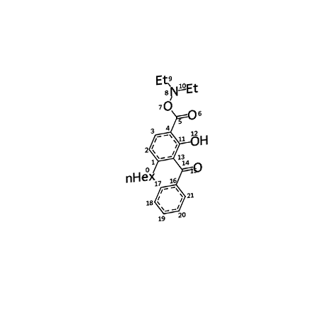 CCCCCCc1ccc(C(=O)ON(CC)CC)c(O)c1C(=O)c1ccccc1